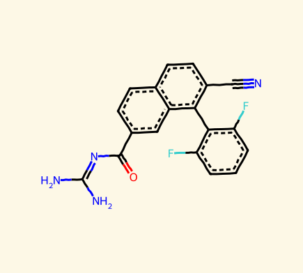 N#Cc1ccc2ccc(C(=O)N=C(N)N)cc2c1-c1c(F)cccc1F